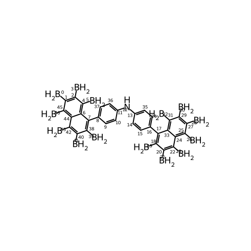 Bc1c(B)c(B)c2c(-c3ccc(Nc4ccc(-c5c(B)c(B)c(B)c6c(B)c(B)c(B)c(B)c56)cc4)cc3)c(B)c(B)c(B)c2c1B